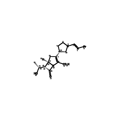 CC(C)N=CN1CC[C@@H](C2=C(C(=O)O)N3C(=O)[C@H]([C@@H](C)O)[C@H]3C2)C1